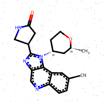 C[C@@H]1C[C@H](n2c(C3CNC(=O)C3)nc3cnc4ccc(C#N)cc4c32)CCO1